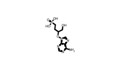 Nc1ncnc2c1ncn2OC(CO)CCP(=O)(O)O